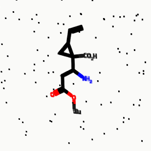 C=CC1CC1(C(=O)O)C(N)[CH]C(=O)OC(C)(C)C